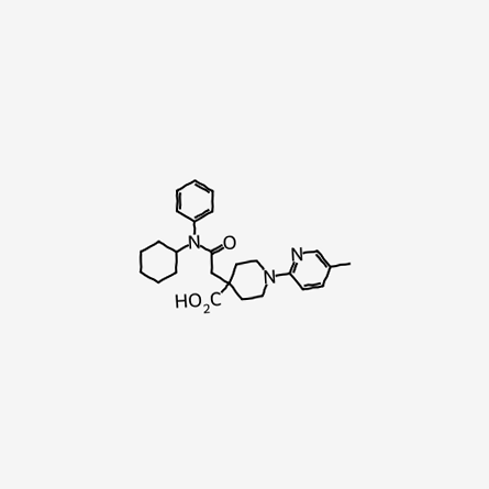 Cc1ccc(N2CCC(CC(=O)N(c3ccccc3)C3CCCCC3)(C(=O)O)CC2)nc1